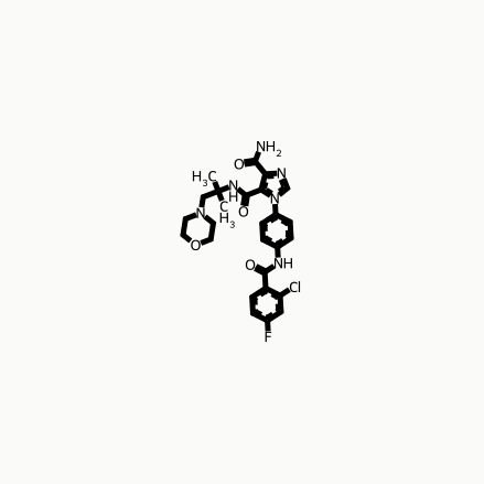 CC(C)(CN1CCOCC1)NC(=O)c1c(C(N)=O)ncn1-c1ccc(NC(=O)c2ccc(F)cc2Cl)cc1